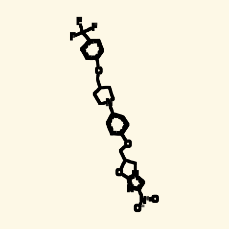 O=[N+]([O-])c1cn2c(n1)OC(COc1ccc(N3CCC(COc4ccc(C(F)(F)F)cc4)CC3)cc1)C2